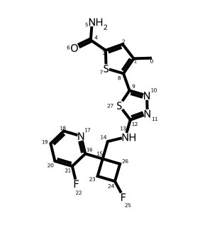 Cc1cc(C(N)=O)sc1-c1nnc(NCC2(c3ncccc3F)CC(F)C2)s1